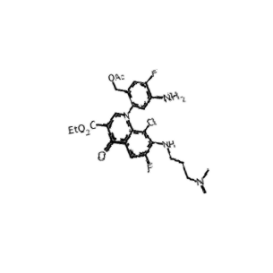 CCOC(=O)c1cn(-c2cc(N)c(F)cc2COC(C)=O)c2c(Cl)c(NCCCN(C)C)c(F)cc2c1=O